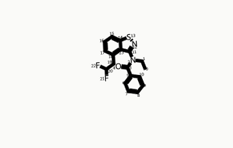 CCN(C(=O)c1ccccc1)c1nsc2cccc(CC(F)F)c12